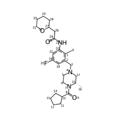 Cc1c(CN2CCN(C(=O)C3CCCC3)[C@@H](C)C2)cc(F)cc1NC(=O)CC1CCCCO1